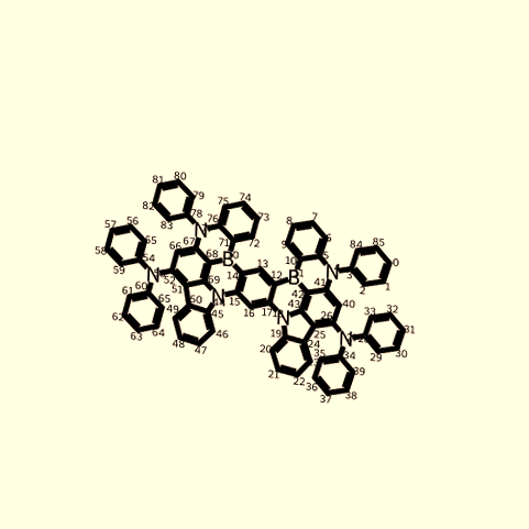 c1ccc(N2c3ccccc3B3c4cc5c(cc4-n4c6ccccc6c6c(N(c7ccccc7)c7ccccc7)cc2c3c64)-n2c3ccccc3c3c(N(c4ccccc4)c4ccccc4)cc4c(c32)B5c2ccccc2N4c2ccccc2)cc1